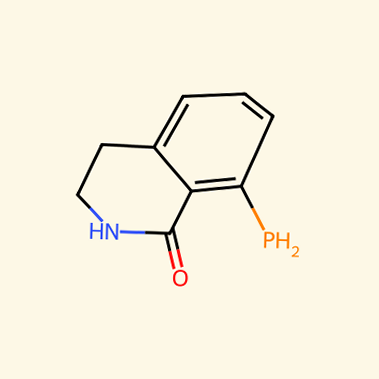 O=C1NCCc2cccc(P)c21